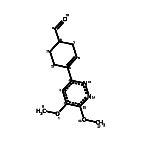 COc1cc(C2=CCC(C=O)CC2)nnc1OC